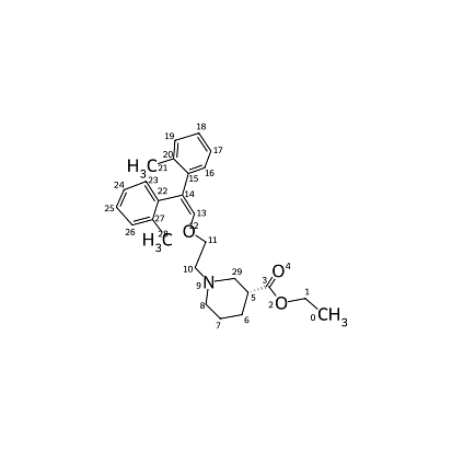 CCOC(=O)[C@@H]1CCCN(CCOC=C(c2ccccc2C)c2ccccc2C)C1